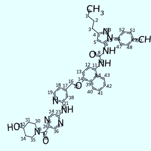 CCCCc1cc(NC(=O)Nc2ccc(OCc3ccnc(Nc4cnc(C(=O)N5CCC(O)CC5)cn4)c3)c3ccccc23)n(-c2ccc(C)cc2)n1